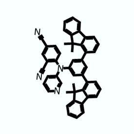 CC1(C)c2ccccc2-c2cccc(-c3cc(-c4cccc5c4C(C)(C)c4ccccc4-5)cc(N(c4cccnc4)c4ccc(C#N)cc4C#N)c3)c21